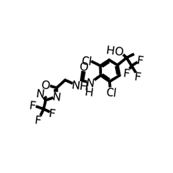 CC(O)(c1cc(Cl)c(NC(=O)NCc2nc(C(F)(F)F)no2)c(Cl)c1)C(F)(F)F